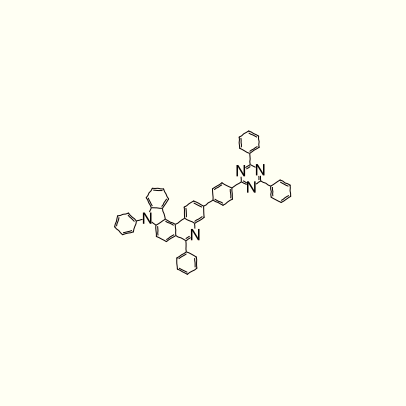 c1ccc(-c2nc(-c3ccccc3)nc(-c3ccc(-c4ccc5c(c4)nc(-c4ccccc4)c4ccc6c(c7ccccc7n6-c6ccccc6)c45)cc3)n2)cc1